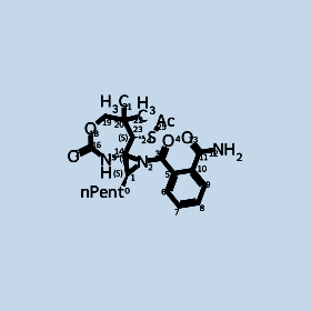 CCCCC[C@@H]1N(C(=O)c2ccccc2C(N)=O)[C@@]12NC(=O)OCC(C)(C)[C@@H]2SC(C)=O